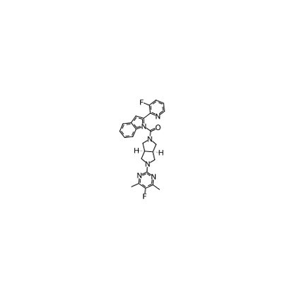 Cc1nc(N2C[C@H]3CN(C(=O)n4c(-c5ncccc5F)cc5ccccc54)C[C@H]3C2)nc(C)c1F